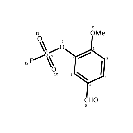 COc1ccc(C=O)cc1OS(=O)(=O)F